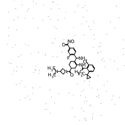 C=C(NC1=C(C(N)c2ccc(C(=O)N=O)cc2F)CCC(C(=O)N2CC(N(C)C)C2)C1)c1c(Cl)cccc1C1(C(F)(F)F)CC1